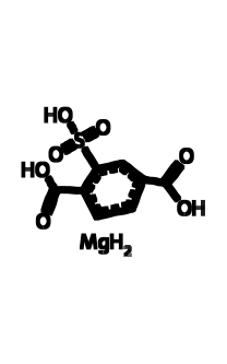 O=C(O)c1ccc(C(=O)O)c(S(=O)(=O)O)c1.[MgH2]